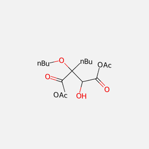 CCCCOC(CCCC)(C(=O)OC(C)=O)C(O)C(=O)OC(C)=O